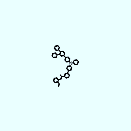 C=Cc1ccccc1/C=C(\C)c1cccc(-c2ccc(N(c3ccccc3)c3ccc(-c4ccc(-c5ccccc5)c(-c5ccccc5)c4)cc3)cc2)c1